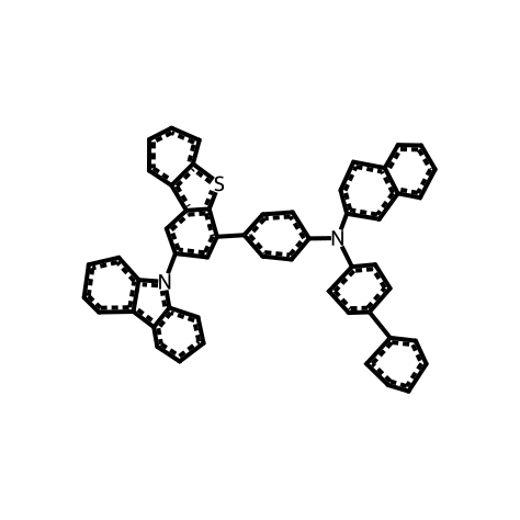 c1ccc(-c2ccc(N(c3ccc(-c4cc(-n5c6ccccc6c6ccccc65)cc5c4sc4ccccc45)cc3)c3ccc4ccccc4c3)cc2)cc1